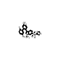 CC(=O)C1=CCC(=S)C(c2cc(C(F)(F)F)ccc2-c2cn(C)c3cc(S(=O)(=O)Nc4ncns4)ccc23)=C1